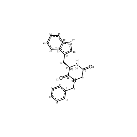 O=C1CN(Cc2ccccc2)C(=O)[C@@H](Cc2csc3ccccc23)N1